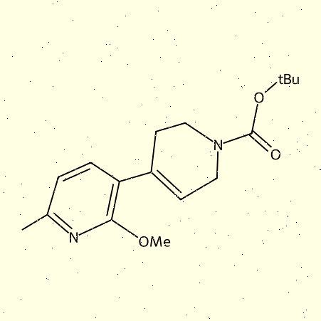 COc1nc(C)ccc1C1=CCN(C(=O)OC(C)(C)C)CC1